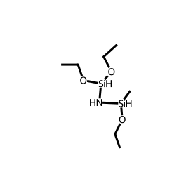 CCO[SiH](C)N[SiH](OCC)OCC